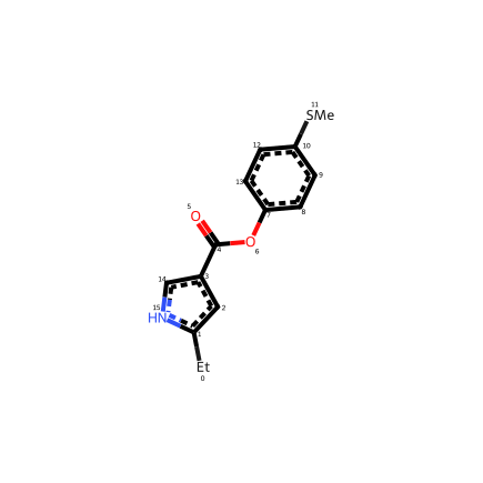 CCc1cc(C(=O)Oc2ccc(SC)cc2)c[nH]1